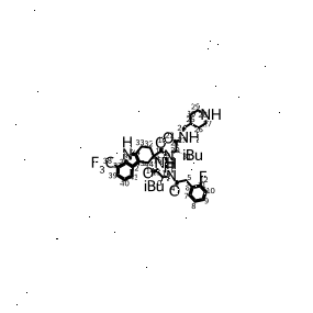 CCC(C)[C@H](NC(=O)Cc1ccccc1F)C(=O)N[C@]1(C(=O)NC(C(=O)NCC2CCNCC2)[C@@H](C)CC)CCc2[nH]c3c(C(F)(F)F)cccc3c2C1